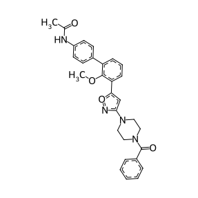 COc1c(-c2ccc(NC(C)=O)cc2)cccc1-c1cc(N2CCN(C(=O)c3ccccc3)CC2)no1